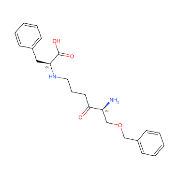 N[C@@H](COCc1ccccc1)C(=O)CCCN[C@@H](Cc1ccccc1)C(=O)O